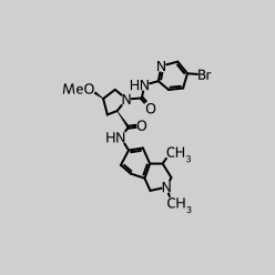 CO[C@@H]1C[C@H](C(=O)Nc2ccc3c(c2)C(C)CN(C)C3)N(C(=O)Nc2ccc(Br)cn2)C1